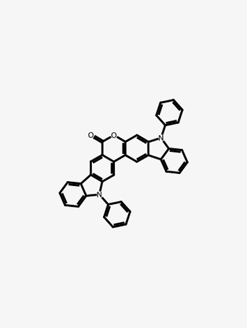 O=c1oc2cc3c(cc2c2cc4c(cc12)c1ccccc1n4-c1ccccc1)c1ccccc1n3-c1ccccc1